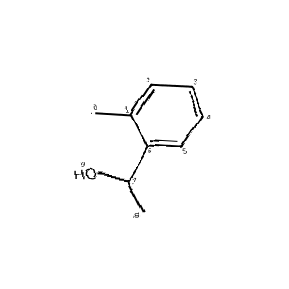 [CH2]c1ccccc1C(C)O